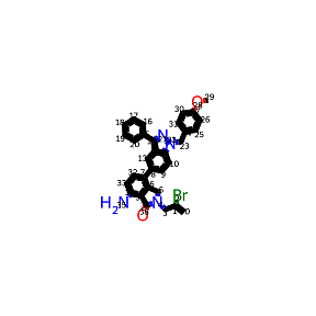 C=C(Br)CN1Cc2c(-c3ccc4c(c3)c(-c3ccccc3)nn4Cc3ccc(OC)cc3)ccc(N)c2C1=O